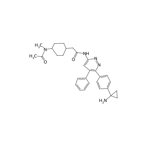 CC(=O)N(C)C1CCC(CC(=O)Nc2cc(-c3ccccc3)c(-c3ccc(C4(N)CC4)cc3)nn2)CC1